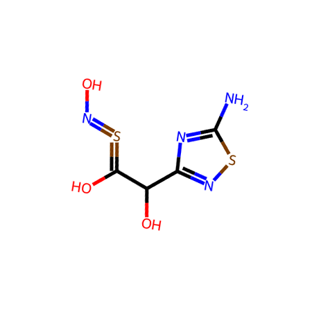 Nc1nc(C(O)C(O)=S=NO)ns1